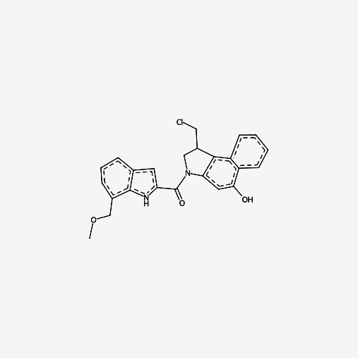 COCc1cccc2cc(C(=O)N3CC(CCl)c4c3cc(O)c3ccccc43)[nH]c12